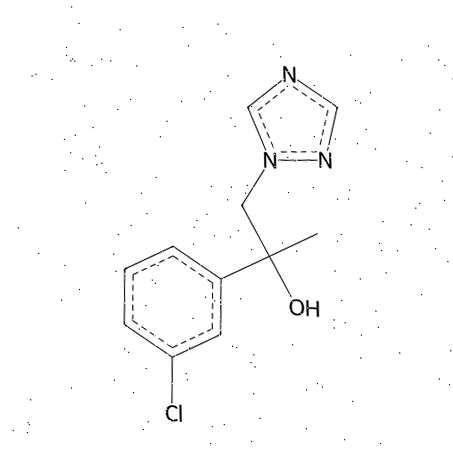 CC(O)(Cn1cncn1)c1cccc(Cl)c1